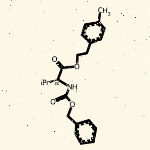 Cc1ccc(CCOC(=O)[C@@H](NC(=O)OCc2ccccc2)C(C)C)cc1